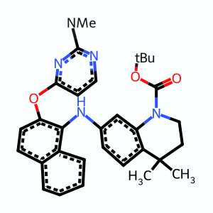 CNc1nccc(Oc2ccc3ccccc3c2Nc2ccc3c(c2)N(C(=O)OC(C)(C)C)CCC3(C)C)n1